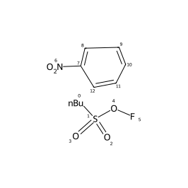 CCCCS(=O)(=O)OF.O=[N+]([O-])c1ccccc1